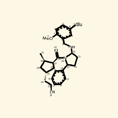 COc1ccc(C(C)(C)C)cc1CNC1CCC(c2ccccc2)N1C(=O)[C@H]1C[C@H](CCC#N)C[C@H]1C